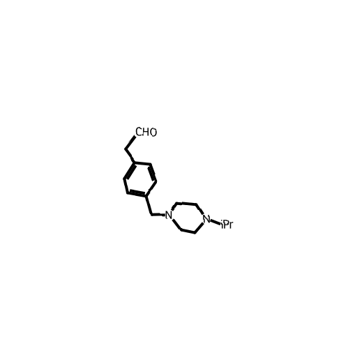 CC(C)N1CCN(Cc2ccc(CC=O)cc2)CC1